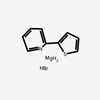 Br.[MgH2].c1ccc(-c2cccs2)nc1